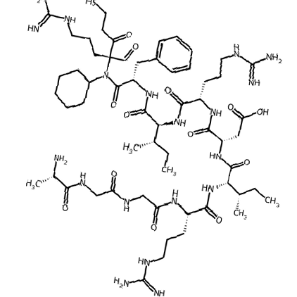 CC[C@H](C)[C@H](NC(=O)[C@H](CCCNC(=N)N)NC(=O)CNC(=O)CNC(=O)[C@H](C)N)C(=O)N[C@@H](CC(=O)O)C(=O)N[C@@H](CCCNC(=N)N)C(=O)N[C@H](C(=O)N[C@@H](Cc1ccccc1)C(=O)N(C1CCCCC1)[C@]([C]=O)(CCCNC(=N)N)C(=O)CCS)[C@@H](C)CC